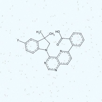 CC1(C)CN(c2ncnc3ccc(-c4ccccc4C(=O)O)nc23)c2ccc(F)cc21